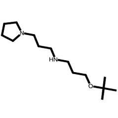 CC(C)(C)OCCCNCCCN1CCCC1